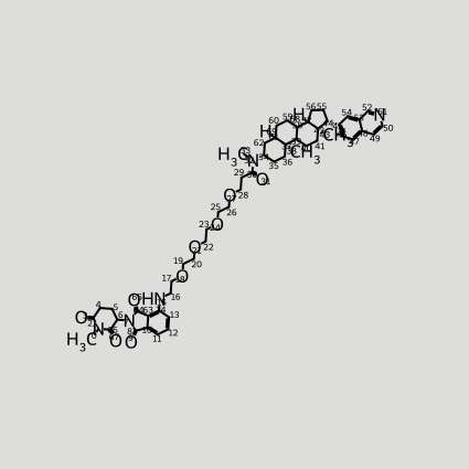 CN1C(=O)CCC(N2C(=O)c3cccc(NCCOCCOCCOCCOCCC(=O)N(C)[C@H]4CC[C@]5(C)C6CC[C@]7(C)[C@@H](c8ccc9ccncc9c8)CC[C@H]7C6CC[C@H]5C4)c3C2=O)C1=O